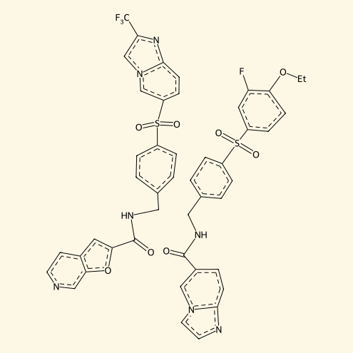 CCOc1ccc(S(=O)(=O)c2ccc(CNC(=O)c3ccc4nccn4c3)cc2)cc1F.O=C(NCc1ccc(S(=O)(=O)c2ccc3nc(C(F)(F)F)cn3c2)cc1)c1cc2ccncc2o1